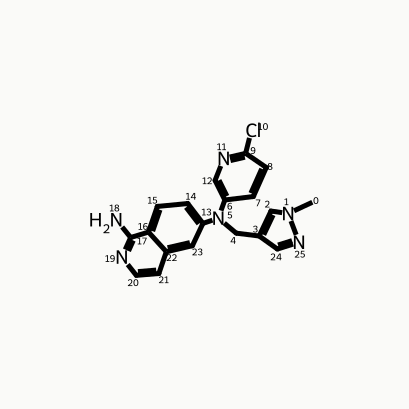 Cn1cc(CN(c2ccc(Cl)nc2)c2ccc3c(N)nccc3c2)cn1